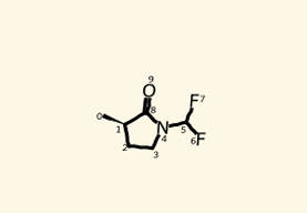 C[C@@H]1CCN(C(F)F)C1=O